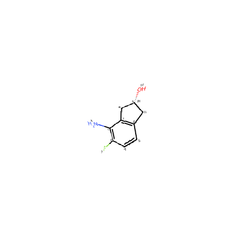 Nc1c(F)ccc2c1C[C@H](O)C2